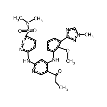 CCC(=O)c1cnc(Nc2ccc(S(=O)(=O)N(C)C)cn2)cc1Nc1cccc(-c2ncn(C)n2)c1OC